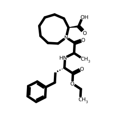 CCOC(=O)[C@H](CCc1ccccc1)NC(C)C(=O)N1CCCCCCC[C@H]1C(=O)O